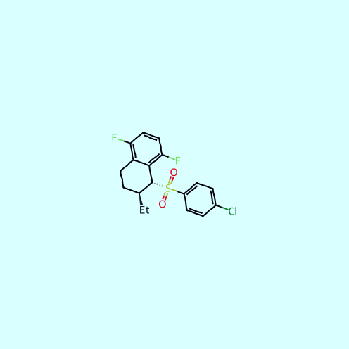 CC[C@H]1CCc2c(F)ccc(F)c2[C@@H]1S(=O)(=O)c1ccc(Cl)cc1